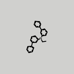 CCN(c1cccc(-c2ccccc2)c1)c1cccc(-c2ccccc2)c1